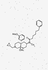 COc1cccc([C@@]23CCN(CC4CC4)C[C@@]2(OC(C)=O)CC[C@H](N(C)C(=O)CCCCCc2ccccc2)C3)c1